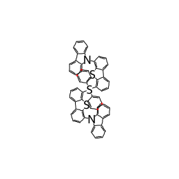 c1ccc(S(c2ccccc2)(c2cccc3c2sc2c(-n4c5ccccc5c5ccccc54)cccc23)c2cccc3c2sc2c(-n4c5ccccc5c5ccccc54)cccc23)cc1